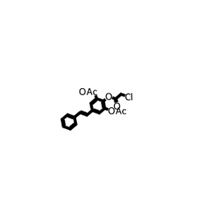 CC(=O)Oc1cc(C=Cc2ccccc2)cc(OC(C)=O)c1OC(=O)CCl